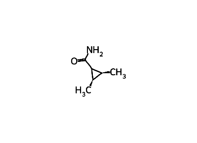 C[C@@H]1C(C(N)=O)[C@@H]1C